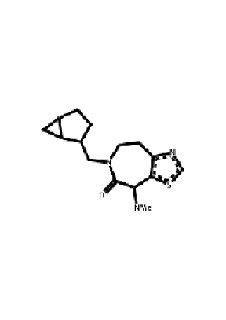 CNC1C(=O)N(CC2CCC3CC32)CCc2ncsc21